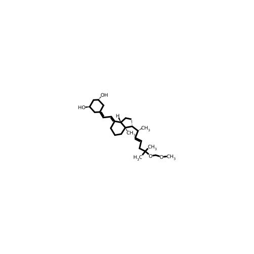 COCOC(C)(C)C/C=C/[C@@H](C)[C@H]1CC[C@H]2/C(=C/C=C3C[C@@H](O)C[C@H](O)C3)CCC[C@]12C